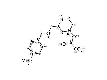 COc1ccc(COCC2CN(OC(=O)C(=O)O)CCO2)cc1